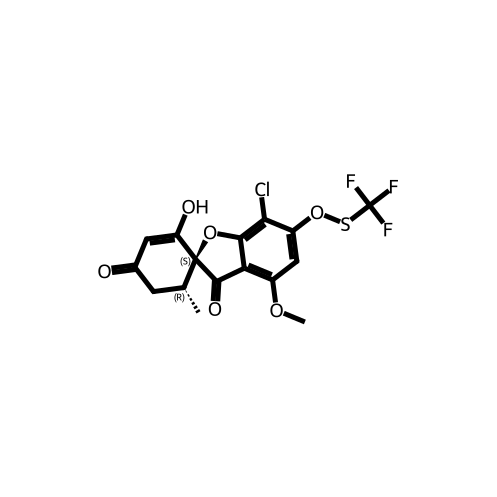 COc1cc(OSC(F)(F)F)c(Cl)c2c1C(=O)[C@@]1(O2)C(O)=CC(=O)C[C@H]1C